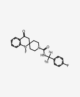 [2H]C([2H])(NC(=O)N1CCC2(CC1)CC(=O)c1ccccc1N2F)c1ccc(F)cc1